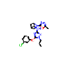 CCCn1nc(NC2C3CC2N(c2nnc(C)o2)C3)nc1Oc1cccc(Cl)c1